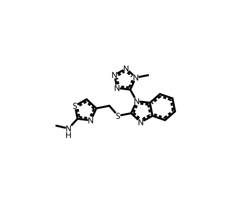 CNc1nc(CSc2nc3ccccc3n2-c2nnnn2C)cs1